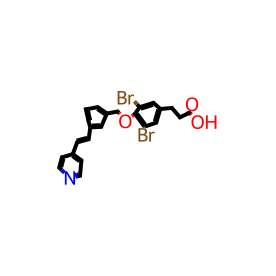 O=C(O)CCc1cc(Br)c(OCc2cccc(/C=C/c3ccncc3)c2)c(Br)c1